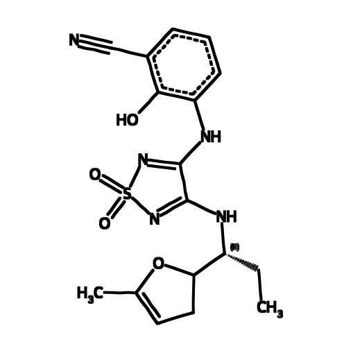 CC[C@@H](NC1=NS(=O)(=O)N=C1Nc1cccc(C#N)c1O)C1CC=C(C)O1